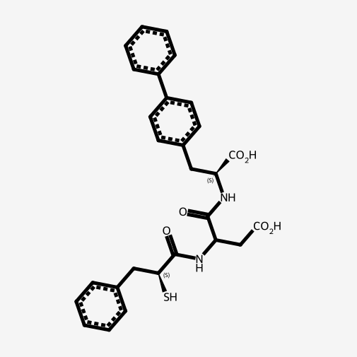 O=C(O)CC(NC(=O)[C@@H](S)Cc1ccccc1)C(=O)N[C@@H](Cc1ccc(-c2ccccc2)cc1)C(=O)O